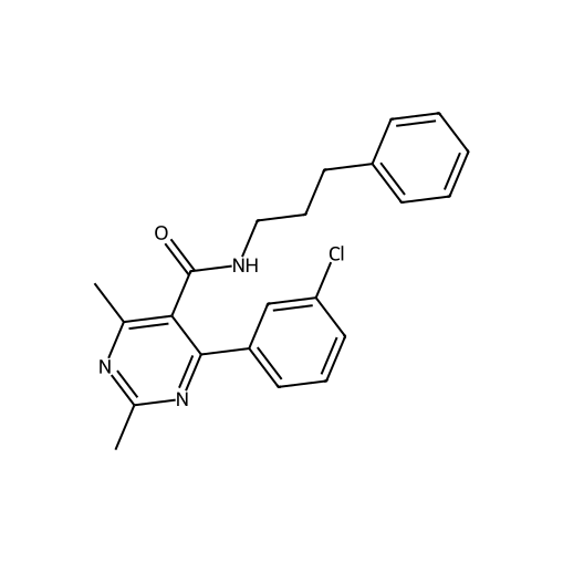 Cc1nc(C)c(C(=O)NCCCc2ccccc2)c(-c2cccc(Cl)c2)n1